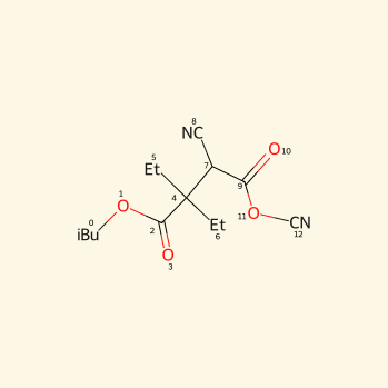 CCC(C)OC(=O)C(CC)(CC)C(C#N)C(=O)OC#N